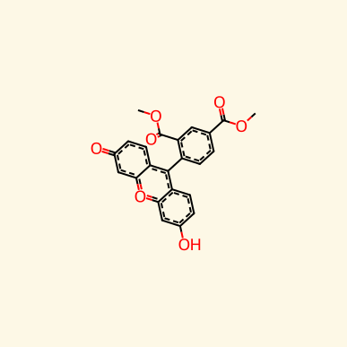 COC(=O)c1ccc(-c2c3ccc(=O)cc-3oc3cc(O)ccc23)c(C(=O)OC)c1